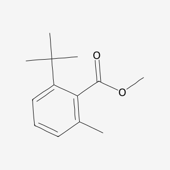 COC(=O)c1c(C)cccc1C(C)(C)C